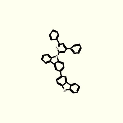 c1ccc(-c2cc(-c3ccccc3)nc(-n3c4ccccc4c4cc(-c5ccc6sc7ccccc7c6c5)ccc43)c2)cc1